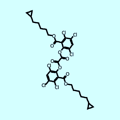 O=C(Oc1c(Cl)cc(Cl)c(Cl)c1C(=O)OCCCCCC1CC1)C(=O)Oc1c(Cl)cc(Cl)c(Cl)c1C(=O)OCCCCCC1CC1